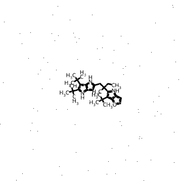 CCC(C)(Cc1cc2[nH]c(C(C)(C)C)c(C(C)(C)C)c2[nH]1)c1[nH]c2ccoc2c1C(C)(C)C